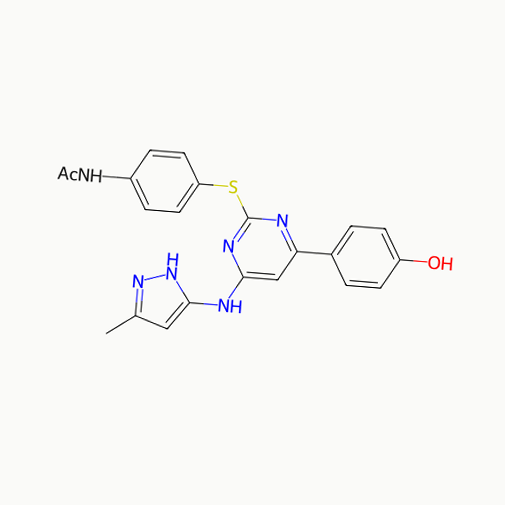 CC(=O)Nc1ccc(Sc2nc(Nc3cc(C)n[nH]3)cc(-c3ccc(O)cc3)n2)cc1